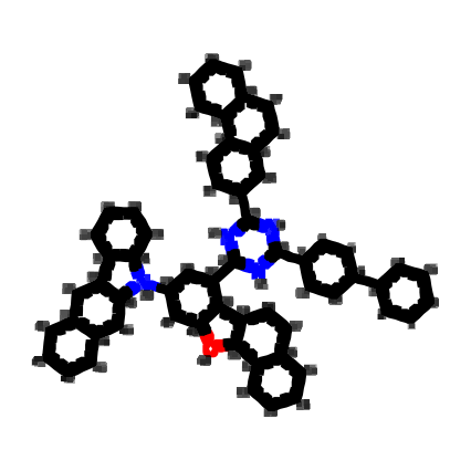 c1ccc(-c2ccc(-c3nc(-c4ccc5c(ccc6ccccc65)c4)nc(-c4cc(-n5c6ccccc6c6cc7ccccc7cc65)cc5oc6c7ccccc7ccc6c45)n3)cc2)cc1